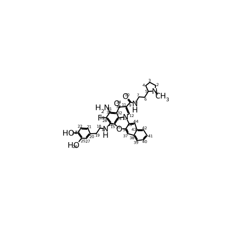 CN1CCCC1CCNC(=O)c1cn2c3c(c(NCCc4ccc(O)c(O)c4)c(F)c(N)c3c1=O)Oc1cc3ccccc3cc1-2